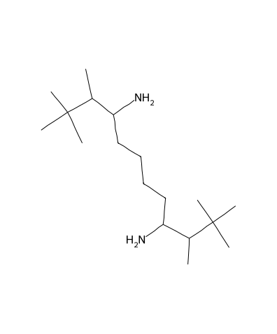 CC(C(N)CCCCC(N)C(C)C(C)(C)C)C(C)(C)C